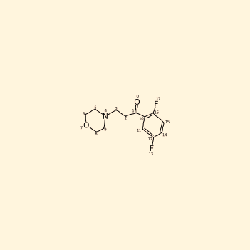 O=C(CCN1CCOCC1)c1cc(F)ccc1F